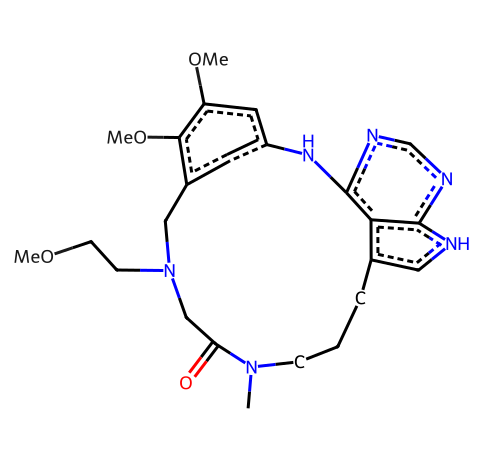 COCCN1CC(=O)N(C)CCCc2c[nH]c3ncnc(c23)Nc2cc(c(OC)c(OC)c2)C1